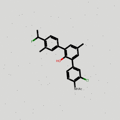 CC(=O)Nc1ccc(-c2cc(C)cc(-c3ccc(C(C)F)c(C)c3)c2O)cc1Cl